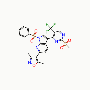 Cc1noc(C)c1-c1ccc2c(-c3nc(S(C)(=O)=O)ncc3C(F)(F)F)cn(S(=O)(=O)c3ccccc3)c2n1